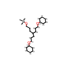 C[Si](C)(C)OCCCC(CCCOC1CCCCC1)CCCOC1CCCCC1